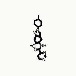 COc1cc2nn(C3CCC(C)CC3)cc2cc1NC(=O)c1ccncn1